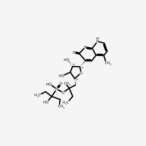 CCC(C)(C[C@H]1O[C@@H](c2cc3c(C)cc[nH]c-3nc2=O)[C@@H](O)C1O)OP(=O)(O)C(O)(CC)CC